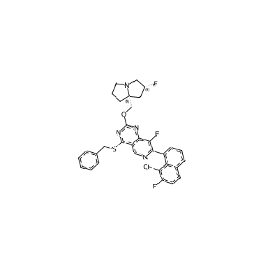 Fc1ccc2cccc(-c3ncc4c(SCc5ccccc5)nc(OC[C@]56CCCN5C[C@H](F)C6)nc4c3F)c2c1Cl